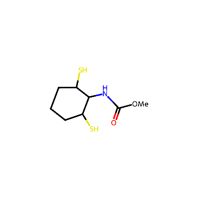 COC(=O)NC1C(S)CCCC1S